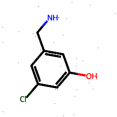 [NH]Cc1cc(O)cc(Cl)c1